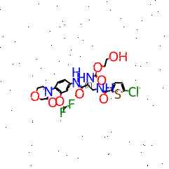 O=C(N[C@@H](CNC(=O)c1ccc(Cl)s1)C(=O)Nc1ccc(N2CCOCC2=O)c(OC(F)F)c1)OCCO